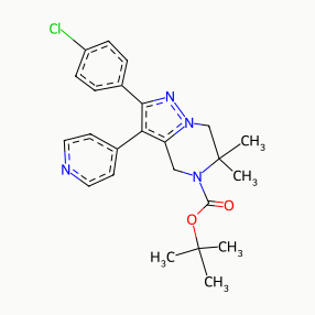 CC(C)(C)OC(=O)N1Cc2c(-c3ccncc3)c(-c3ccc(Cl)cc3)nn2CC1(C)C